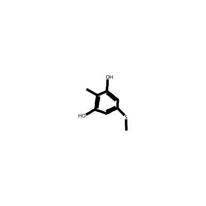 CSc1cc(O)c(C)c(O)c1